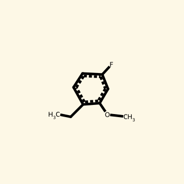 CCc1ccc(F)cc1OC